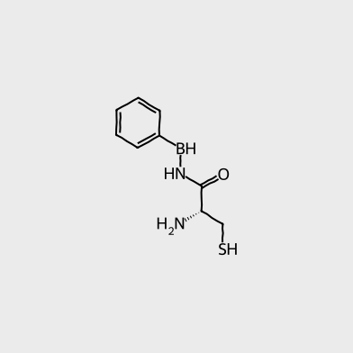 N[C@@H](CS)C(=O)NBc1ccccc1